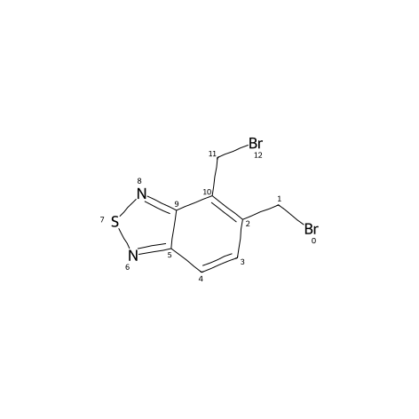 BrCc1ccc2nsnc2c1CBr